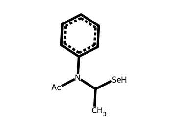 CC(=O)N(c1ccccc1)C(C)[SeH]